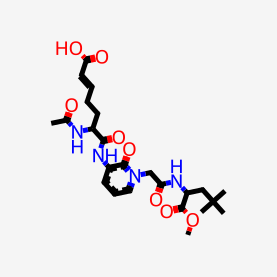 COC(=O)C(CC(C)(C)C)NC(=O)Cn1cccc(NC(=O)C(CCC=CC(=O)O)NC(C)=O)c1=O